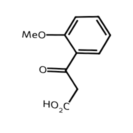 COc1ccccc1C(=O)CC(=O)O